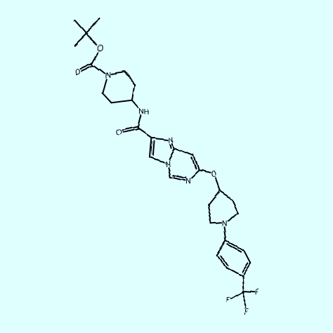 CC(C)(C)OC(=O)N1CCC(NC(=O)c2cn3cnc(OC4CCN(c5ccc(C(F)(F)F)cc5)CC4)cc3n2)CC1